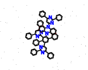 c1ccc(-c2cc(-c3cc(-c4ccccc4)c(N4c5ccccc5N(c5cc(-c6ccccc6)nc(-c6ccccc6)n5)c5ccccc54)c(-c4nc(-c5ccccc5)cc(-c5ccccc5)n4)c3-c3ccccc3)nc(-c3ccccc3)n2)cc1